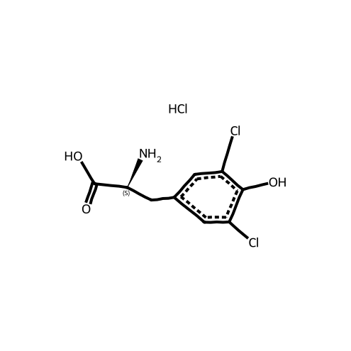 Cl.N[C@@H](Cc1cc(Cl)c(O)c(Cl)c1)C(=O)O